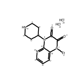 CCn1c(=O)c(=O)n(C2CCNCC2)c2ncccc21.Cl.Cl